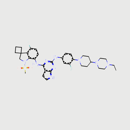 CCN1CCN(C2CCN(c3ccc(Nc4nc(Nc5ccc(F)c6c5N(S(C)(=O)=O)CC65CCC5)c5cc[nH]c5n4)cc3F)CC2)CC1